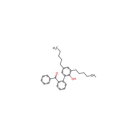 CCCCCc1cc(CCCCC)c(O)c(-c2ccccc2C(=O)c2ccccc2)c1